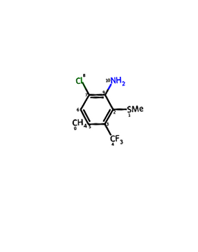 C.CSc1c(C(F)(F)F)ccc(Cl)c1N